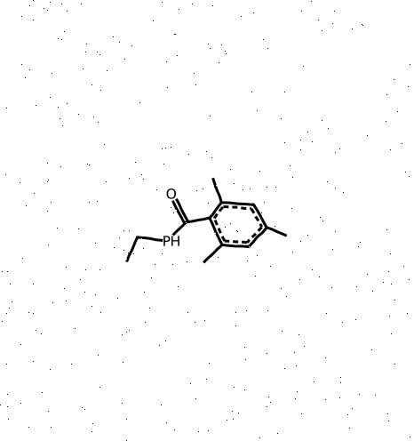 CCPC(=O)c1c(C)cc(C)cc1C